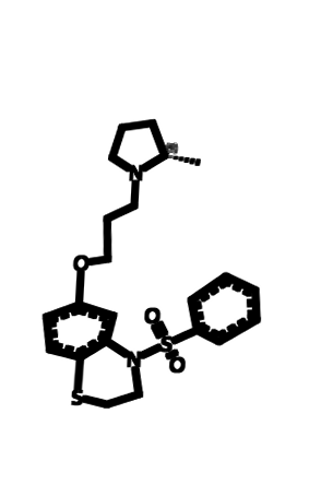 C[C@H]1CCCN1CCCOc1ccc2c(c1)N(S(=O)(=O)c1ccccc1)CCS2